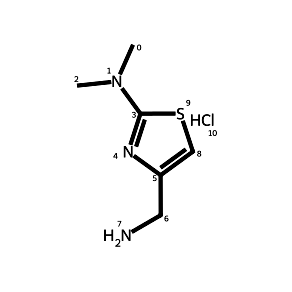 CN(C)c1nc(CN)cs1.Cl